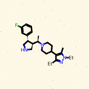 CCc1nn(CC)c(C)c1C1CCN([C@H](C)[C@H]2CNC[C@@H]2c2cccc(F)c2)CC1